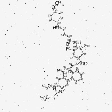 CCc1nc2cc(-c3cccn4c(C(=O)c5cc(F)c(NC(=O)/C=C/CNC6CCC(OC)CC6)c(F)c5)ccc34)c(C(F)(F)F)cc2n1C